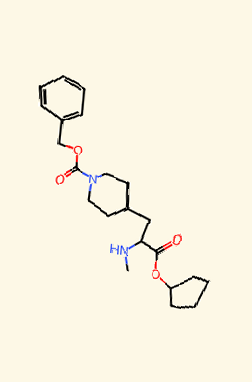 CNC(CC1CCN(C(=O)OCc2ccccc2)CC1)C(=O)OC1CCCC1